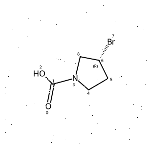 O=C(O)N1CC[C@@H](Br)C1